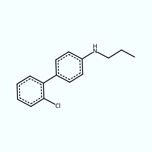 CCCNc1ccc(-c2ccccc2Cl)cc1